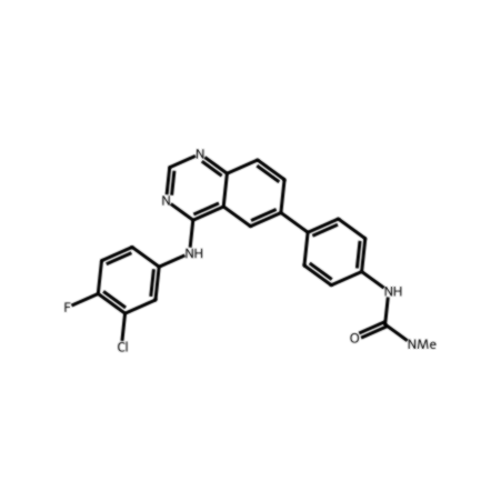 CNC(=O)Nc1ccc(-c2ccc3ncnc(Nc4ccc(F)c(Cl)c4)c3c2)cc1